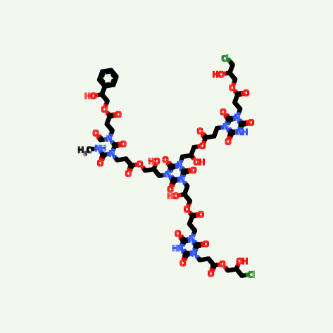 CNC(=O)N(CCC(=O)OCC(O)Cn1c(=O)n(CC(O)COC(=O)CCn2c(=O)[nH]c(=O)n(CCC(=O)OCC(O)CCl)c2=O)c(=O)n(CC(O)COC(=O)CCn2c(=O)[nH]c(=O)n(CCC(=O)OCC(O)CCl)c2=O)c1=O)C(=O)N(C=O)CCC(=O)OCC(O)c1ccccc1